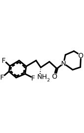 N[C@@H](CC(=O)N1CCOCC1)Cc1cc(F)c(F)cc1F